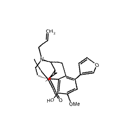 C=CCN1CC[C@@]23CC(=O)CCC2C1Cc1c(-c2ccoc2)cc(OC)c(O)c13